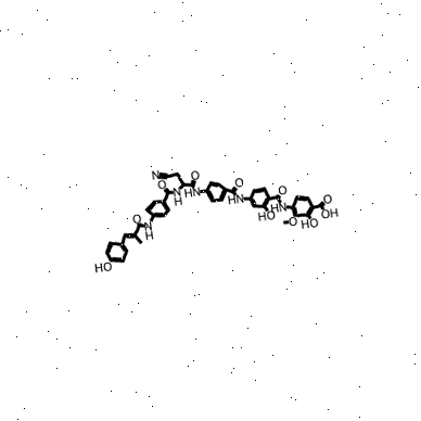 COc1c(NC(=O)c2ccc(NC(=O)c3ccc(NC(=O)C(CC#N)NC(=O)c4ccc(NC(=O)/C(C)=C/c5ccc(O)cc5)cc4)cc3)cc2O)ccc(C(=O)O)c1O